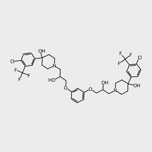 OC(COc1cccc(OCC(O)CN2CCC(O)(c3ccc(Cl)c(C(F)(F)F)c3)CC2)c1)CN1CCC(O)(c2ccc(Cl)c(C(F)(F)F)c2)CC1